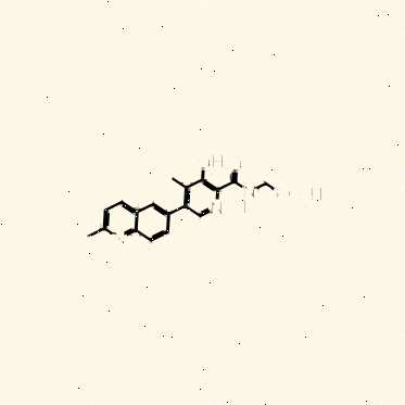 Cc1ccc2cc(-c3cnc(C(=O)NCC(=O)O)c(O)c3C)ccc2n1